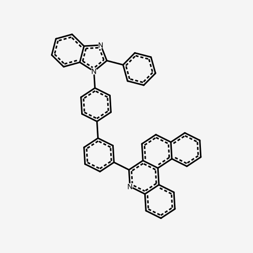 c1ccc(-c2nc3ccccc3n2-c2ccc(-c3cccc(-c4nc5ccccc5c5c4ccc4ccccc45)c3)cc2)cc1